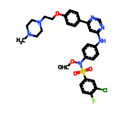 CN1CCN(CCOc2ccc(-c3cc(Nc4ccc(N(OC=O)S(=O)(=O)c5ccc(F)c(Cl)c5)cc4)ncn3)cc2)CC1